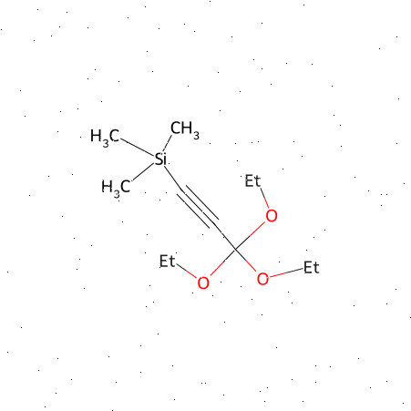 CCOC(C#C[Si](C)(C)C)(OCC)OCC